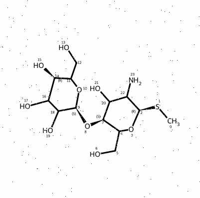 CS[C@H]1OC(CO)[C@@H](O[C@@H]2OC(CO)[C@H](O)C(O)C2O)C(O)C1N